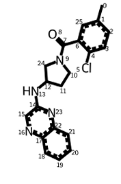 Cc1ccc(Cl)c(C(=O)N2CCC(Nc3cnc4ccccc4n3)C2)c1